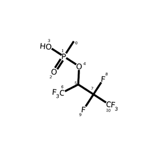 CP(=O)(O)OC(C(F)(F)F)C(F)(F)C(F)(F)F